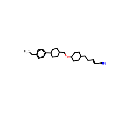 CCc1ccc(C2CCC(COC3CCC(CCC=CC#N)CC3)CC2)cc1